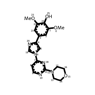 COc1cc(-c2cn(-c3ccnc(N4CCOCC4)n3)cn2)cc(OC)c1O